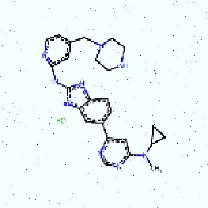 CN(c1cc(-c2ccc3nc(Nc4cc(CN5CCNCC5)ccn4)[nH]c3c2)ncn1)C1CC1.Cl